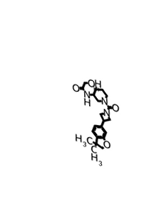 CC1(C)COc2cc(C3CN(C(=O)N4CC[C@@H]5OCC(=O)NC5C4)C3)ccc21